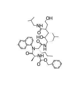 CCCC[C@@H](C(=O)N[C@@H](CC(C)C)[C@@H](O)CC(CCO)C(=O)NCC(C)C)N(C(=O)[C@H](C)NC(=O)OCc1ccccc1)c1cccc2ccccc12